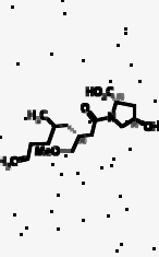 C=CCCC(C)C[C@@H](COC)CC(=O)N1C[C@H](O)C[C@H]1C(=O)O